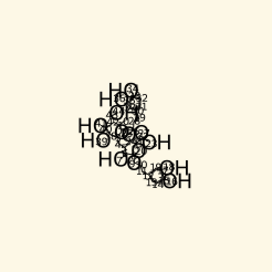 CC1O[C@@H](CC2C(O)[C@H](OCCc3ccc(O)c(O)c3)OC(CO)[C@H]2OC(=O)/C=C/c2ccc(O)c(O)c2)[C@@H](O)C(O)[C@H]1CO